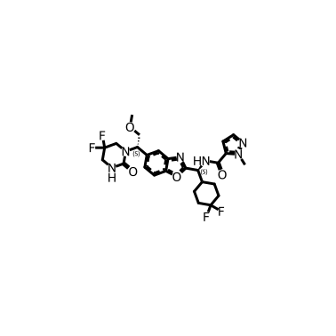 COC[C@H](c1ccc2oc([C@@H](NC(=O)c3ccnn3C)C3CCC(F)(F)CC3)nc2c1)N1CC(F)(F)CNC1=O